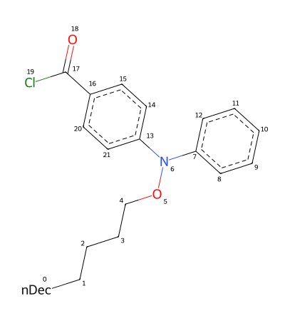 CCCCCCCCCCCCCCON(c1ccccc1)c1ccc(C(=O)Cl)cc1